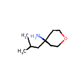 CC(C)CC1(N)CCOCC1